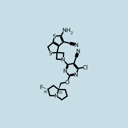 N#Cc1c(Cl)nc(OC[C@@]23CCCN2C[C@H](F)C3)nc1N1CC2(C1)SCc1sc(N)c(C#N)c12